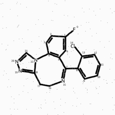 Fc1ccc2c(c1)/C(c1ccccc1Cl)=N\CCc1nncn1-2